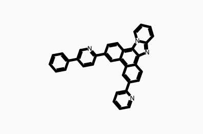 c1ccc(-c2ccc(-c3ccc4c(c3)c3cc(-c5ccccn5)ccc3c3nc5ccccn5c43)nc2)cc1